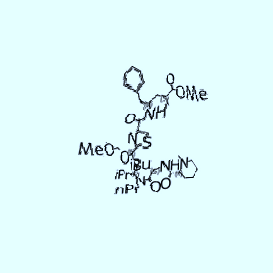 CCCN(C(=O)[C@@H](NC(=O)[C@H]1CCCCN1C)C(C)CC)[C@H](C[C@@H](OCOC)c1nc(C(=O)N[C@@H](Cc2ccccc2)C[C@H](C)C(=O)OC)cs1)C(C)C